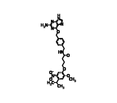 COc1cc(C(C)C)c([N+](=O)[O-])cc1OCCCC(=O)NCc1ccc(COc2nc(N)nc3[nH]cnc23)cc1